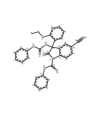 CCOc1ncccc1C1(OC(=O)Oc2ccccc2)C(=O)N(C(=O)Oc2ccccc2)c2ccc(C#N)cc21